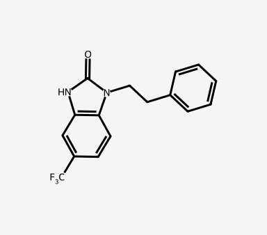 O=c1[nH]c2cc(C(F)(F)F)ccc2n1CCc1ccccc1